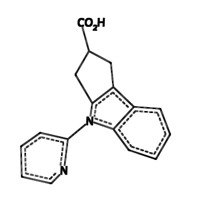 O=C(O)C1Cc2c(n(-c3ccccn3)c3ccccc23)C1